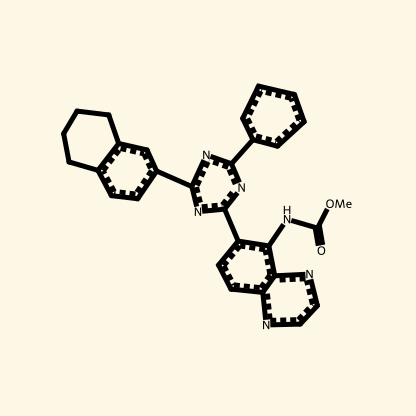 COC(=O)Nc1c(-c2nc(-c3ccccc3)nc(-c3ccc4c(c3)CCCC4)n2)ccc2nccnc12